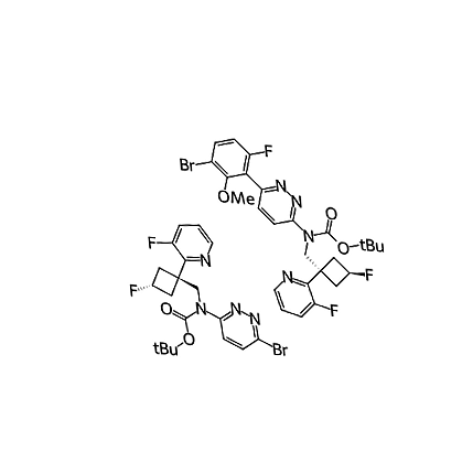 CC(C)(C)OC(=O)N(C[C@]1(c2ncccc2F)C[C@@H](F)C1)c1ccc(Br)nn1.COc1c(Br)ccc(F)c1-c1ccc(N(C[C@]2(c3ncccc3F)C[C@@H](F)C2)C(=O)OC(C)(C)C)nn1